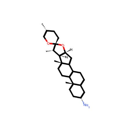 C[C@@H]1CC[C@@]2(OC1)O[C@H]1CC3C4CCC5C[C@H](N)CC[C@]5(C)C4CC[C@]3(C)[C@H]1[C@@H]2C